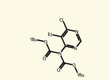 CCc1c(Cl)ncnc1N(C(=O)OC(C)(C)C)C(=O)OC(C)(C)C